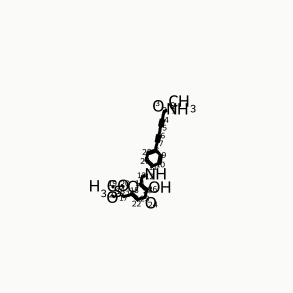 CNC(=O)C#CC#Cc1ccc(NCc2oc(CS(C)(=O)=O)cc(=O)c2O)cc1